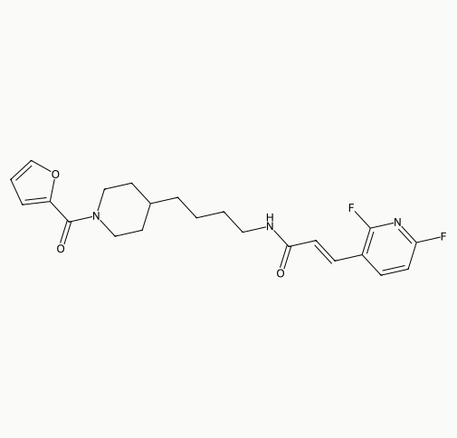 O=C(/C=C/c1ccc(F)nc1F)NCCCCC1CCN(C(=O)c2ccco2)CC1